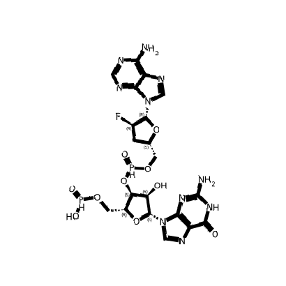 Nc1nc2c(ncn2[C@@H]2O[C@H](CO[PH](=O)O)[C@@H](O[PH](=O)OC[C@@H]3C[C@@H](F)[C@H](n4cnc5c(N)ncnc54)O3)[C@H]2O)c(=O)[nH]1